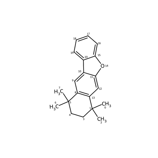 CC1(C)CCC(C)(C)c2cc3c(cc21)oc1ccccc13